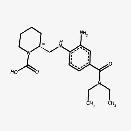 CCN(CC)C(=O)c1ccc(NC[C@H]2CCCCN2C(=O)O)c(N)c1